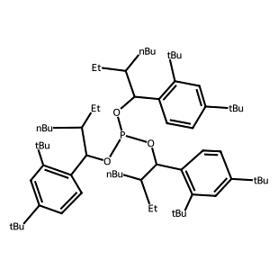 CCCCC(CC)C(OP(OC(c1ccc(C(C)(C)C)cc1C(C)(C)C)C(CC)CCCC)OC(c1ccc(C(C)(C)C)cc1C(C)(C)C)C(CC)CCCC)c1ccc(C(C)(C)C)cc1C(C)(C)C